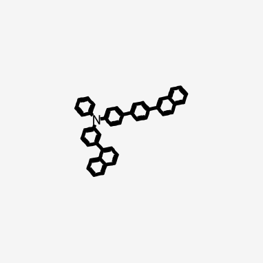 c1ccc(N(c2ccc(-c3ccc(-c4ccc5ccccc5c4)cc3)cc2)c2cccc(-c3cccc4ccccc34)c2)cc1